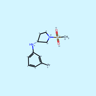 CC(C)c1cccc(N[C@@H]2CCN(S(C)(=O)=O)C2)c1